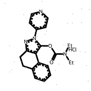 CCN(CC)C(=O)Oc1c2c(nn1-c1ccncc1)CCc1ccccc1-2.Cl